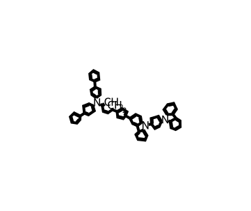 C=C(/C=C\C(=C)N(c1ccc(-c2ccccc2)cc1)c1ccc(-c2ccccc2)cc1)c1ccc(-c2ccc3c(c2)c2ccccc2n3-c2ccc(-n3c4ccccc4c4ccccc43)cc2)cc1